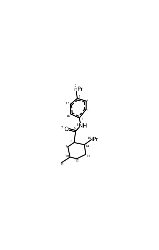 CCCc1ccc(NC(=O)C2CC(C)CCC2C(C)C)cc1